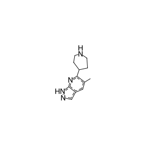 Cc1cc2cn[nH]c2nc1C1CCNCC1